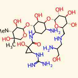 CN[C@@H]1[C@@H](O)[C@@H](O[C@H]2[C@H](NC(=O)C3(O)CC3NC(=N)N)C[C@H](N)C(O[C@H]3O[C@H](CNCC(N)CO)[C@@H](O)[C@H](O)[C@H]3O)[C@@H]2O)OC[C@]1(C)O